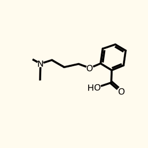 CN(C)CCCOc1ccccc1C(=O)O